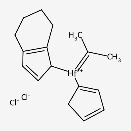 C[C](C)=[Hf+2]([C]1=CC=CC1)[CH]1C=CC2=C1CCCC2.[Cl-].[Cl-]